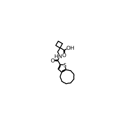 O=C(NCC1(C(=O)O)CCC1)c1cc2c(s1)CCCCCCC2